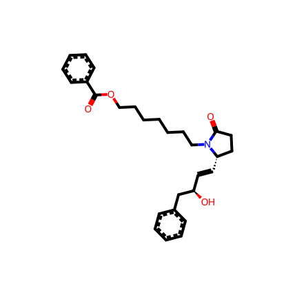 O=C(OCCCCCCCN1C(=O)CC[C@@H]1/C=C/[C@@H](O)Cc1ccccc1)c1ccccc1